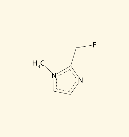 Cn1ccnc1CF